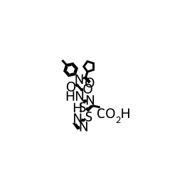 Cc1ccc(N(C(=O)C(=O)Nc2nc(CC(=O)O)c(Sc3ncc[nH]3)s2)C(=O)C2CCCC2)cc1